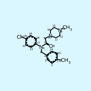 Cc1ccc(CN(C(=O)CN2CCN(C)CC2)c2ccc(Cl)cc2)cc1